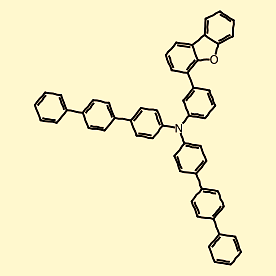 c1ccc(-c2ccc(-c3ccc(N(c4ccc(-c5ccc(-c6ccccc6)cc5)cc4)c4cccc(-c5cccc6c5oc5ccccc56)c4)cc3)cc2)cc1